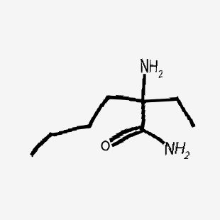 CCCCC(N)(CC)C(N)=O